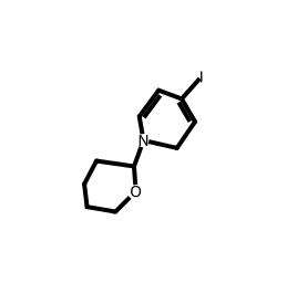 IC1=CCN(C2CCCCO2)C=C1